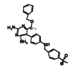 C[C@@H](OCc1ccccc1)c1nc(N)nc(N)c1-c1ccc(NCc2ccc(S(C)(=O)=O)cc2)cc1